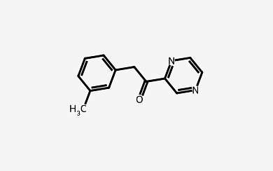 Cc1cccc(CC(=O)c2cnccn2)c1